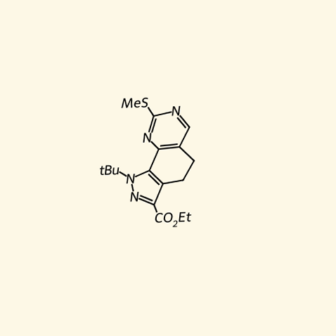 CCOC(=O)c1nn(C(C)(C)C)c2c1CCc1cnc(SC)nc1-2